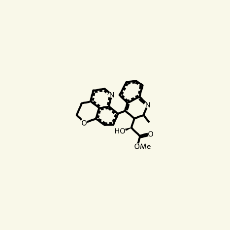 COC(=O)[C@@H](O)C1C(c2ccc3c4c(ccnc24)CCO3)=c2ccccc2=NC1C